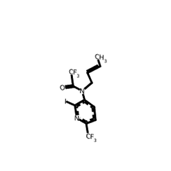 CC=CCN(C(=O)C(F)(F)F)c1ccc(C(F)(F)F)nc1I